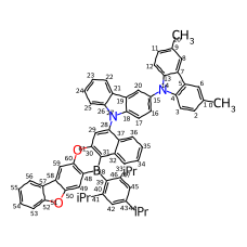 Cc1ccc2c(c1)c1cc(C)ccc1n2-c1ccc2c(c1)c1ccccc1n2-c1cc2c(c3ccccc13)B(c1c(C(C)C)cc(C(C)C)cc1C(C)C)c1cc3oc4ccccc4c3cc1O2